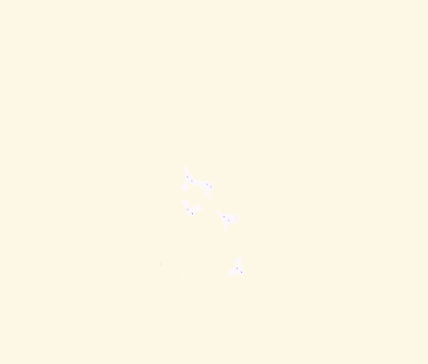 Cc1ncc(OC(C)C)cc1Nc1ncn(-c2ccc(F)c(F)c2)n1